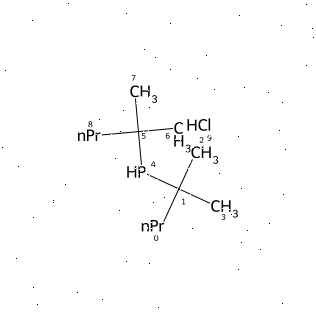 CCCC(C)(C)PC(C)(C)CCC.Cl